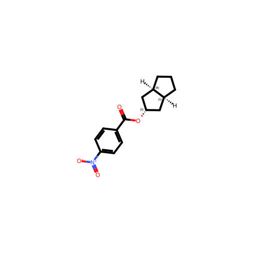 O=C(O[C@@H]1C[C@H]2CCC[C@H]2C1)c1ccc([N+](=O)[O-])cc1